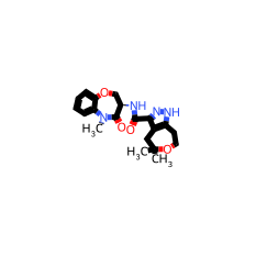 CN1C(=O)[C@@H](NC(=O)c2n[nH]c3c2CC(C)(C)OCC3)COc2ccccc21